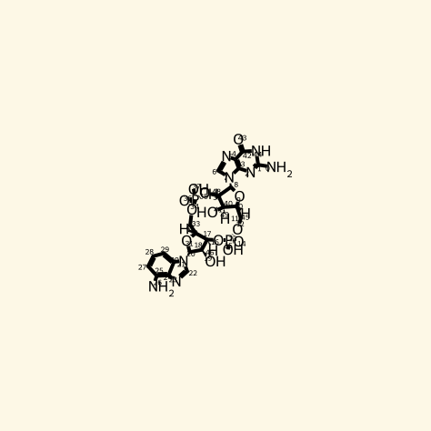 Nc1nc2c(ncn2[C@@H]2O[C@@H]3COP(=O)(O)O[C@H]4[C@@H](O)[C@H](n5cnc6c(N)cccc65)O[C@@H]4COP(=O)(O)O[C@@H]2[C@@H]3O)c(=O)[nH]1